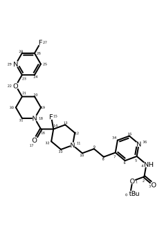 CC(C)(C)OC(=O)Nc1cc(CCCN2CCC(F)(C(=O)N3CCC(Oc4ccc(F)cn4)CC3)CC2)ccn1